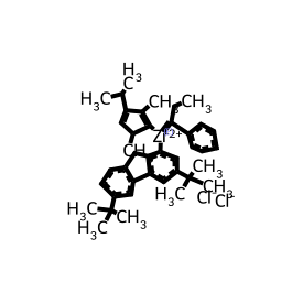 CC/[C](c1ccccc1)=[Zr+2](\[C]1=C(C)C(C(C)C)=CC1C)[c]1cc(C(C)(C)C)cc2c1Cc1ccc(C(C)(C)C)cc1-2.[Cl-].[Cl-]